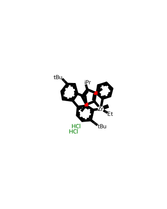 Cl.Cl.[CH2]=[Zr]([CH2]C)([C]1=C(C)C(C(C)C)=CC1C)([c]1ccccc1)[c]1c(C(C)(C)C)ccc2c1Cc1cc(C(C)(C)C)ccc1-2